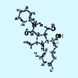 C=CC1NC(/C(O)=C\c2cc(C)cc(C)c2)C(C=O)C1C(=O)N(C)c1ccccc1